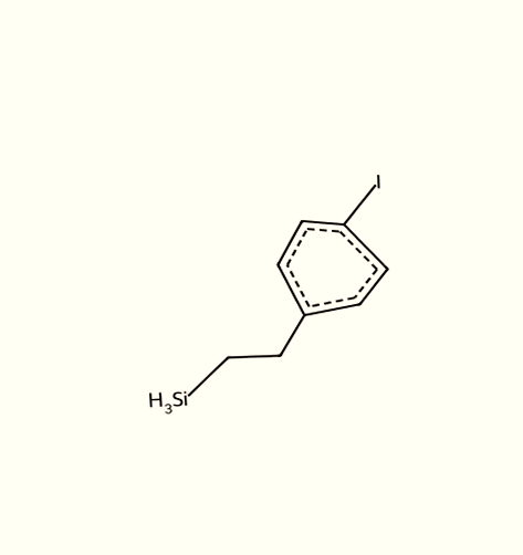 [SiH3]CCc1ccc(I)cc1